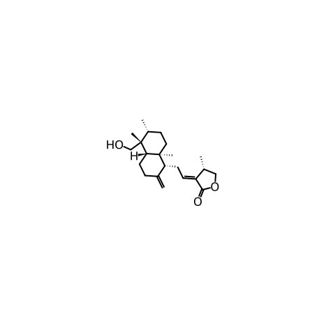 C=C1CC[C@@H]2[C@](C)(CO)[C@H](C)CC[C@@]2(C)[C@@H]1C/C=C1/C(=O)OC[C@H]1C